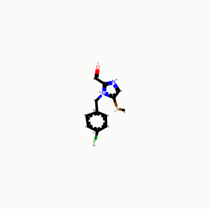 CSc1cnc(C=O)n1Cc1ccc(F)cc1